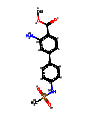 CC(C)(C)OC(=O)c1ccc(-c2ccc(NS(C)(=O)=O)cc2)cc1N